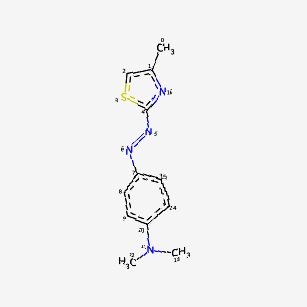 Cc1csc(/N=N/c2ccc(N(C)C)cc2)n1